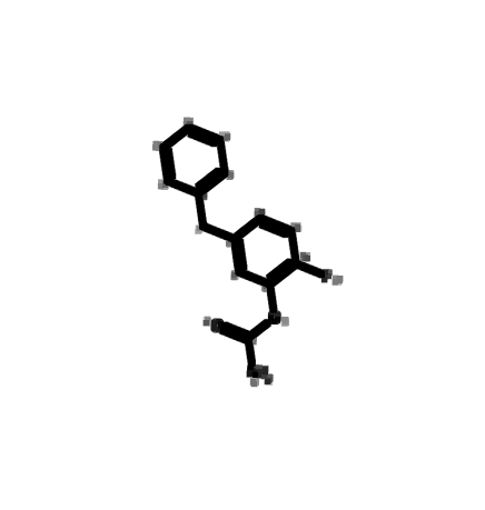 NC(=O)Oc1cc(Cc2ccccc2)ccc1F